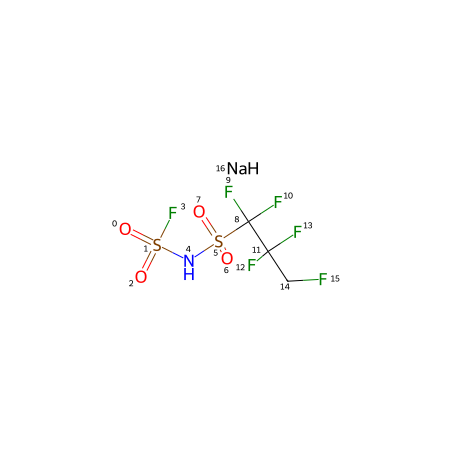 O=S(=O)(F)NS(=O)(=O)C(F)(F)C(F)(F)CF.[NaH]